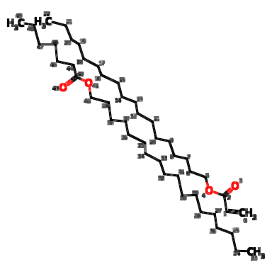 C=CC(=O)OCCCCCCCCCCCCCCCCCC.CCCCCCCCCCCCCCCCCCOC(=O)CCCCCC